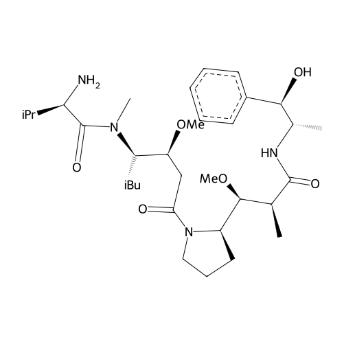 CC[C@@H](C)[C@H]([C@H](CC(=O)N1CCC[C@@H]1[C@@H](OC)[C@H](C)C(=O)N[C@@H](C)[C@H](O)c1ccccc1)OC)N(C)C(=O)[C@H](N)C(C)C